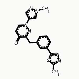 Cc1nnc(-c2cccc(Cc3nn(-c4cnn(C)c4)ccc3=O)c2)s1